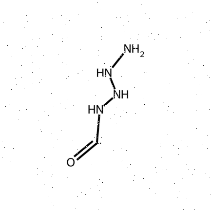 NNNN[C]=O